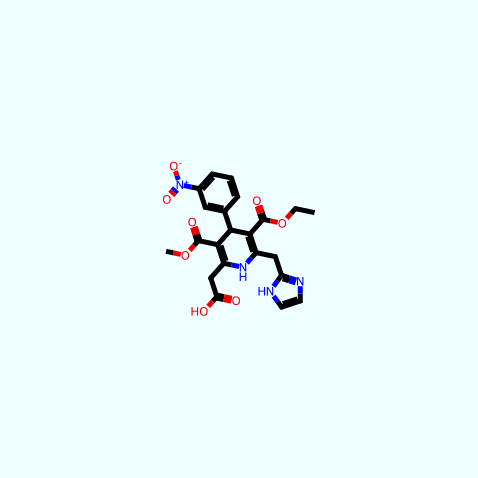 CCOC(=O)C1=C(Cc2ncc[nH]2)NC(CC(=O)O)=C(C(=O)OC)C1c1cccc([N+](=O)[O-])c1